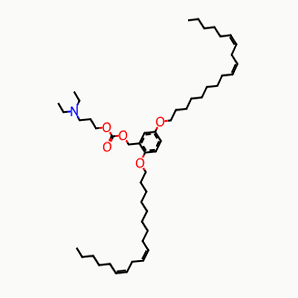 CCCCC/C=C\C/C=C\CCCCCCCCOc1ccc(OCCCCCCCC/C=C\C/C=C\CCCCC)c(COC(=O)OCCCN(CC)CC)c1